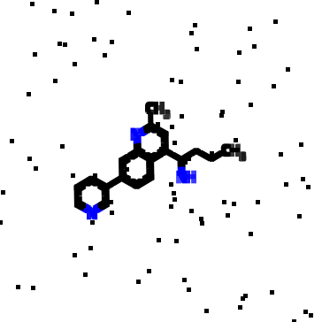 CCCC(=N)c1cc(C)nc2cc(-c3cccnc3)ccc12